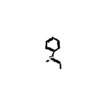 CC=[Si](C)c1ccccc1